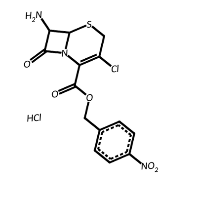 Cl.NC1C(=O)N2C(C(=O)OCc3ccc([N+](=O)[O-])cc3)=C(Cl)CSC12